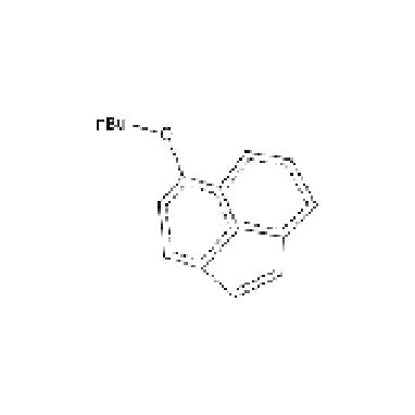 CCCCOc1ccc2c3c(cccc13)C=C2